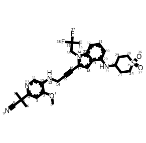 COc1cc(C(C)(C)C#N)ncc1NCC#Cc1cc2c(NC3CCS(=O)(=O)CC3)cccc2n1CC(F)(F)F